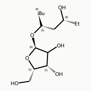 CC[C@@H](O)C[C@H](O[C@@H]1O[C@@H](CO)[C@@H](O)C1O)[C@H](C)CC